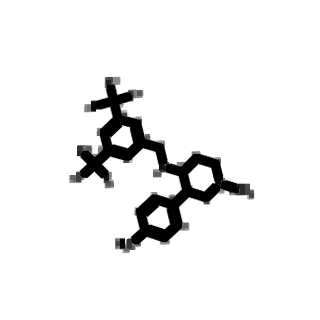 Cc1ccc(C2CN(C)CCC2OCc2cc(C(F)(F)F)cc(C(F)(F)F)c2)cc1